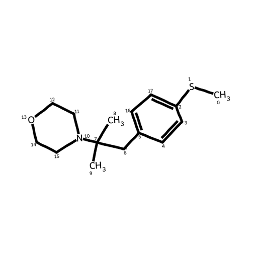 CSc1ccc([CH]C(C)(C)N2CCOCC2)cc1